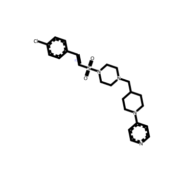 O=S(=O)(/C=C/c1ccc(Cl)cc1)N1CCN(CC2CCN(c3ccncc3)CC2)CC1